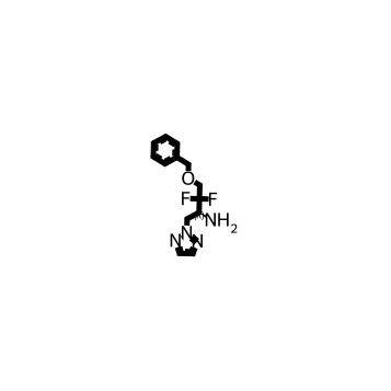 N[C@H](Cn1nccn1)C(F)(F)COCc1ccccc1